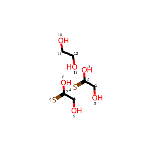 OCC(O)=S.OCC(O)=S.OCCO